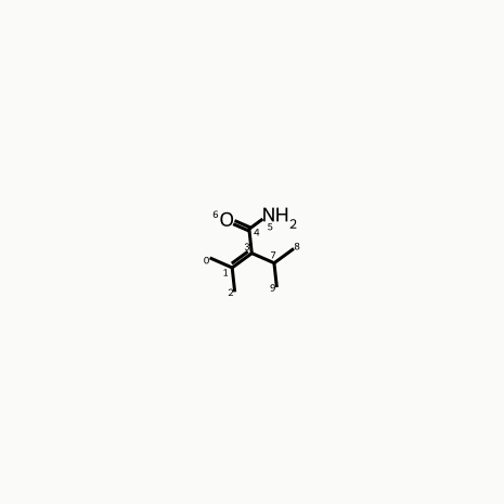 CC(C)=C(C(N)=O)C(C)C